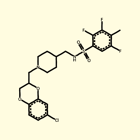 Cc1c(F)cc(S(=O)(=O)NCC2CCN(CC3COc4ccc(Cl)cc4O3)CC2)c(F)c1F